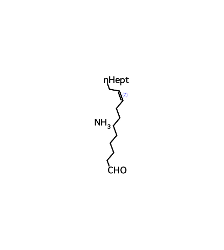 CCCCCCCC/C=C\CCCCCCCC=O.N